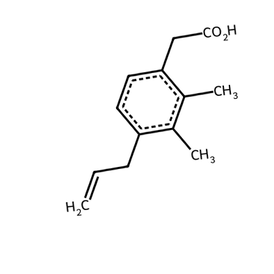 C=CCc1ccc(CC(=O)O)c(C)c1C